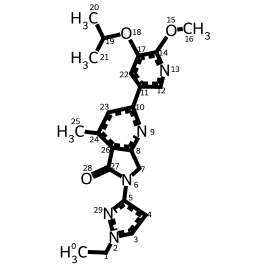 CCn1ccc(N2Cc3nc(-c4cnc(OC)c(OC(C)C)c4)cc(C)c3C2=O)n1